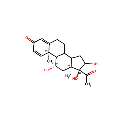 CC(=O)[C@@]1(O)C(O)CC2C3CCC4=CC(=O)C=C[C@]4(C)C3[C@@H](O)C[C@@]21C